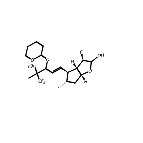 CCCCC(C)(C(/C=C/[C@H]1[C@H]2[C@@H](C[C@@H]1C)OC(O)[C@@H]2F)OC1CCCCO1)C(F)(F)F